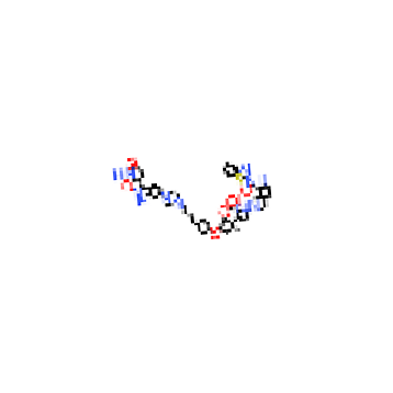 Cc1cc(OC2CCC(CCCCN3CCN(c4ccc5c(C6CCC(=O)NC6=O)nn(C)c5c4)CC3)CC2)ccc1-c1ccc(N2CCc3cccc(C(=O)Nc4nc5ccccc5s4)c3C2)nc1C(=O)O